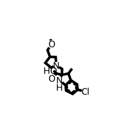 COCC1CCN(CC2(C(=O)O)Nc3ccc(Cl)cc3C2C)C1